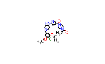 CCOc1cc(CN2CCC(Nc3ccc(C(=O)N4CCN(C(C)C=O)CC4)cn3)CC2)cc(OCC)c1Cl